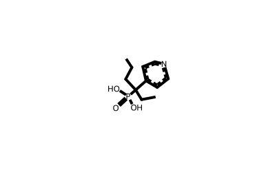 CCCC(CC)(c1ccncc1)P(=O)(O)O